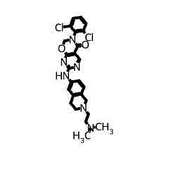 CN(C)CCN1CCc2cc(Nc3ncc4c(n3)OCN(c3c(Cl)cccc3Cl)C4=O)ccc2C1